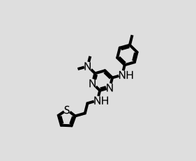 Cc1ccc(Nc2cc(N(C)C)nc(NCCc3cccs3)n2)cc1